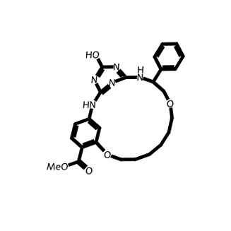 COC(=O)c1ccc2cc1OCCCCCCOCC(c1ccccc1)Nc1nc(O)nc(n1)N2